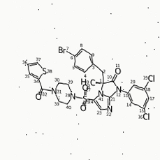 C[C@@]1(Cc2ccc(Br)cc2)C(=O)N(c2cc(Cl)cc(Cl)c2)c2ncc(S(=O)(=O)N3CCN(C(=O)c4cccs4)CC3)n21